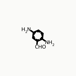 Nc1ccc(N)c(C=O)c1